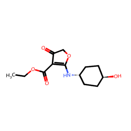 CCOC(=O)C1=C(N[C@H]2CC[C@H](O)CC2)OCC1=O